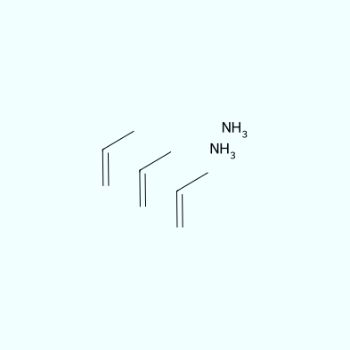 C=CC.C=CC.C=CC.N.N